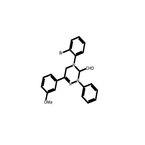 COc1cccc(C2=NN(c3ccccc3)C(C=O)N(c3ccccc3Br)C2)c1